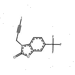 O=c1oc2cc(C(F)(F)F)ccc2n1CC#CI